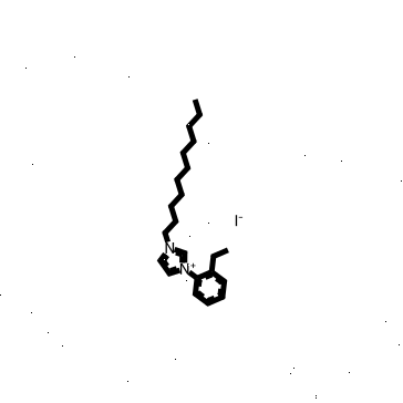 CCCCCCCCCCCn1cc[n+](-c2ccccc2CC)c1.[I-]